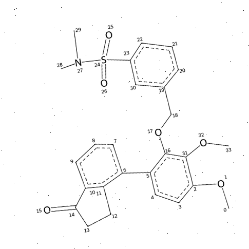 COc1ccc(-c2cccc3c2CCC3=O)c(OCc2cccc(S(=O)(=O)N(C)C)c2)c1OC